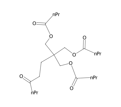 CCCC(=O)CCC(COC(=O)CCC)(COC(=O)CCC)COC(=O)CCC